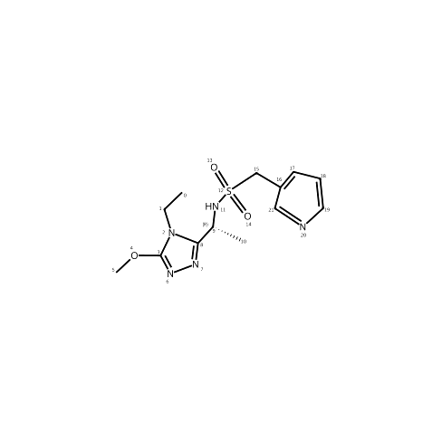 CCn1c(OC)nnc1[C@@H](C)NS(=O)(=O)Cc1cccnc1